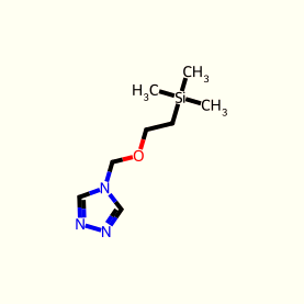 C[Si](C)(C)CCOCn1cnnc1